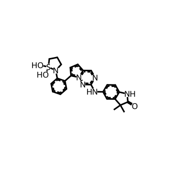 CC1(C)C(=O)Nc2ccc(Nc3ncc4ccc(-c5ccccc5N5CCCS5(O)O)n4n3)cc21